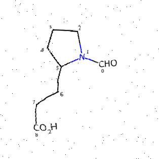 O=CN1CCCC1CCC(=O)O